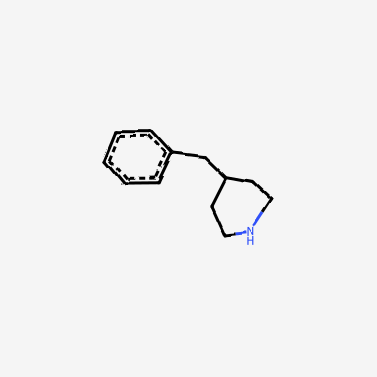 [c]1cccc(CC2CCNCC2)c1